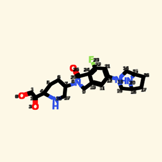 O=CC(=O)C1CCC(N2Cc3cc(N4CC5CCC(C4)N5)cc(F)c3C2=O)CN1